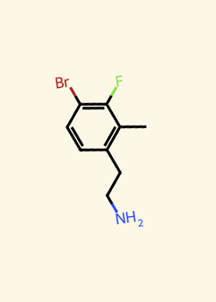 Cc1c(CCN)ccc(Br)c1F